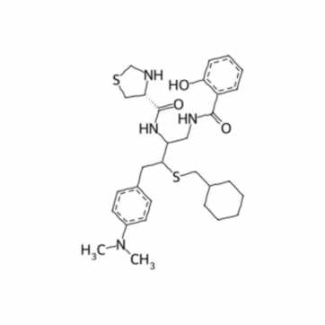 CN(C)c1ccc(CC(SCC2CCCCC2)C(CNC(=O)c2ccccc2O)NC(=O)[C@@H]2CSCN2)cc1